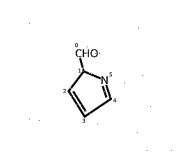 O=[C]C1C=CC=N1